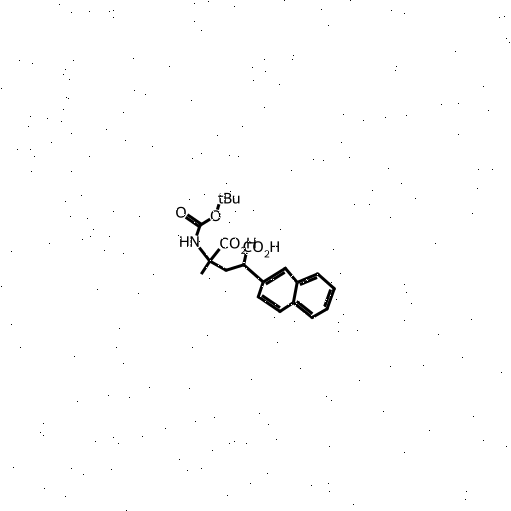 CC(C)(C)OC(=O)NC(C)(CC(C(=O)O)c1ccc2ccccc2c1)C(=O)O